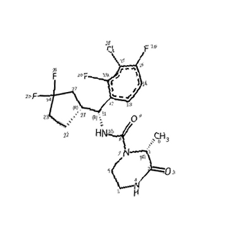 C[C@@H]1C(=O)NCCN1C(=O)N[C@@H](c1ccc(F)c(Cl)c1F)[C@@H]1CCC(F)(F)C1